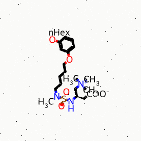 CCCCCCOc1cccc(OCCCCCN(C)S(=O)(=O)N[C@H](CC(=O)[O-])C[N+](C)(C)C)c1